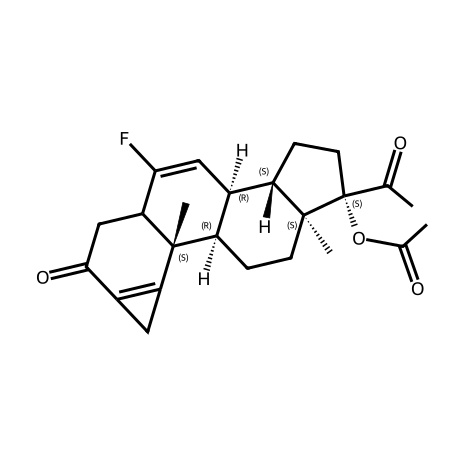 CC(=O)O[C@@]1(C(C)=O)CC[C@H]2[C@@H]3C=C(F)C4CC(=O)C5=C(C5)[C@@]4(C)[C@@H]3CC[C@@]21C